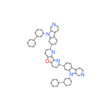 c1ccc(-c2cccc(-n3c4cnccc4c4ccc(-c5ccc6oc7ccc(-c8ccc9c%10ccncc%10n(-c%10cccc(-c%11ccccc%11)c%10)c9c8)nc7c6n5)cc43)c2)cc1